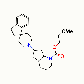 COCCOC(=O)N1CCCC2CC(N3CCC4(CCc5ccccc54)CC3)CC21